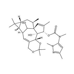 CC1=C[C@]23C(O)[C@@H](C=C4COC(C)(C)O[C@H]4[C@]2(O)[C@H]1OC(=O)N(C)c1cc(C)nn1C)[C@H]1[C@@H](C[C@H]3C)C1(C)C